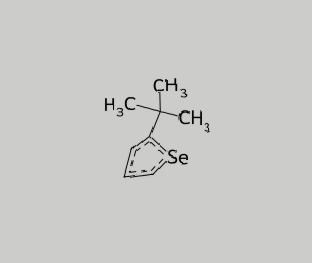 CC(C)(C)c1ccc[se]1